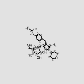 Cc1c(Cc2ccc(OC(F)F)cc2)c(O[C@@H]2O[C@H](CO)[C@@H](O)[C@H](O)[C@H]2O)nn1C1CCOCC1